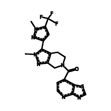 Cn1nc(-c2c3c(nn2C)CN(C(=O)c2ccnc4ncsc24)CC3)cc1C(F)(F)F